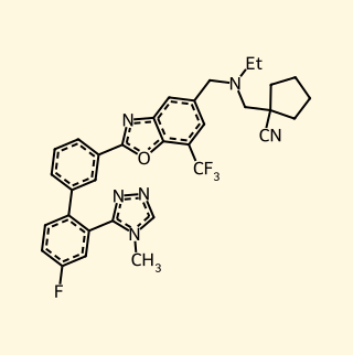 CCN(Cc1cc(C(F)(F)F)c2oc(-c3cccc(-c4ccc(F)cc4-c4nncn4C)c3)nc2c1)CC1(C#N)CCCC1